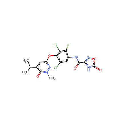 CC(C)c1cc(Oc2c(Cl)cc(NC(=O)c3noc(=O)[nH]3)c(F)c2Cl)nn(C)c1=O